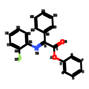 O=C(Oc1ccccc1)C(=Nc1ccccc1F)c1ccccc1